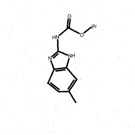 Cc1ccc2nc(NC(=O)OC(C)C)[nH]c2c1